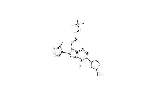 Cn1nccc1-c1cc2c(F)c(C3CCC(O)C3)cnc2n1COCC[Si](C)(C)C